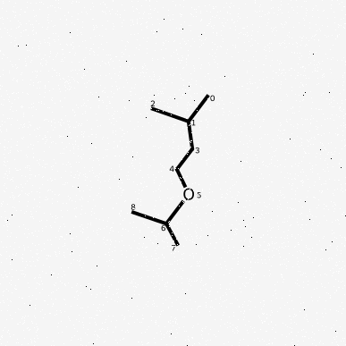 CC(C)CCOC(C)C